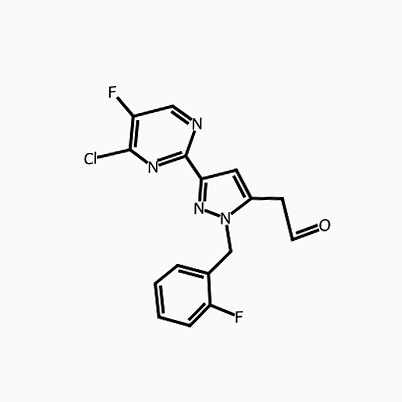 O=CCc1cc(-c2ncc(F)c(Cl)n2)nn1Cc1ccccc1F